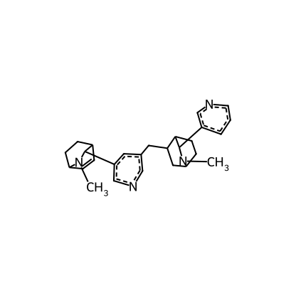 CN1C2C=CC(CC2)C1c1cncc(CC2CC3CCC2C(c2cccnc2)N3C)c1